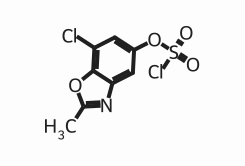 Cc1nc2cc(OS(=O)(=O)Cl)cc(Cl)c2o1